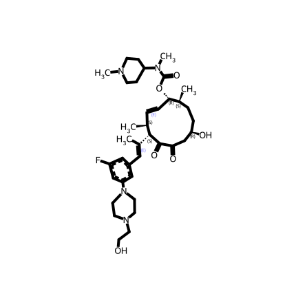 C/C(=C\c1cc(F)cc(N2CCN(CCO)CC2)c1)[C@H]1C(=O)C(=O)C[C@H](O)CC[C@H](C)[C@@H](OC(=O)N(C)C2CCN(C)CC2)/C=C/[C@@H]1C